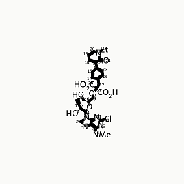 C#C[C@@H](O)[C@@H](O[C@@H](CO)COC(Cc1ccc(-c2cccn(CC)c2=O)cc1)(C(=O)O)C(=O)O)n1cnc2c(NC)nc(Cl)nc21